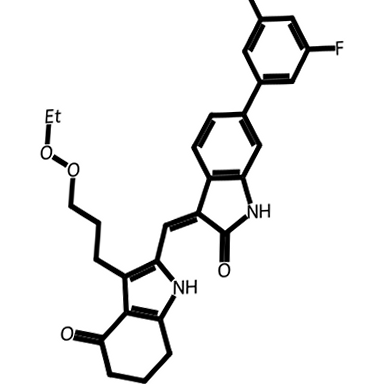 CCOOCCCc1c(/C=C2\C(=O)Nc3cc(-c4cc(F)cc(F)c4)ccc32)[nH]c2c1C(=O)CCC2